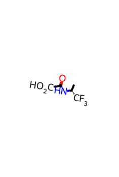 C[C@@H](NC(=O)C(=O)O)C(F)(F)F